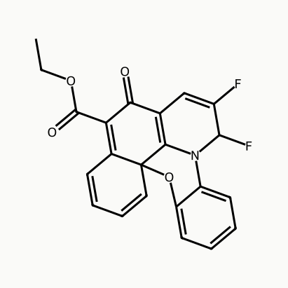 CCOC(=O)C1=C2C=CC=CC23Oc2ccccc2N2C3=C(C=C(F)C2F)C1=O